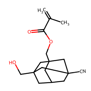 C=C(C)C(=O)OCC12CC3CC(C#N)(CC(CO)(C3)C1)C2